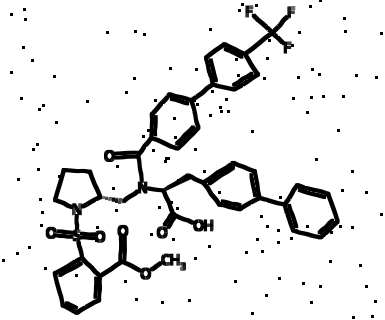 COC(=O)c1ccccc1S(=O)(=O)N1CCC[C@@H]1CN(C(=O)c1ccc(-c2ccc(C(F)(F)F)cc2)cc1)[C@@H](Cc1ccc(-c2ccccc2)cc1)C(=O)O